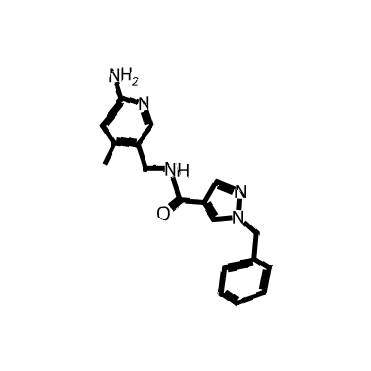 Cc1cc(N)ncc1CNC(=O)c1cnn(Cc2ccccc2)c1